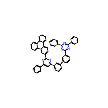 c1ccc(-c2cc(-c3cccc(-c4cccc(-c5nc(-c6ccccc6)nc(-c6ccccc6)n5)c4)c3)nc(-c3ccc4c5ccccc5c5ccccc5c4c3)n2)cc1